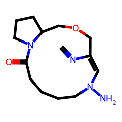 C=N/C1=C\N(N)CCCCC(=O)N2CCCC2COC1